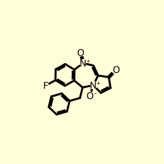 O=C1C=C[N+]2([O-])C1=C[N+](=O)c1ccc(F)cc1C2Cc1ccccc1